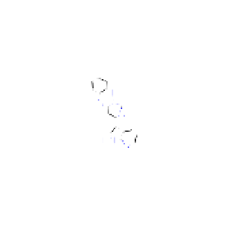 C1=NC(c2c[nH]c3ncccc23)=CC(Nc2ccccc2)N1